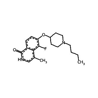 CCCCN1CCC(Oc2ccc3c(=O)[nH]cc(C)c3c2F)CC1